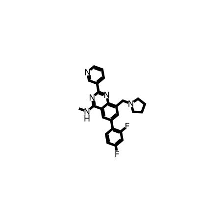 CNc1nc(-c2cccnc2)nc2c(CN3CCCC3)cc(-c3ccc(F)cc3F)cc12